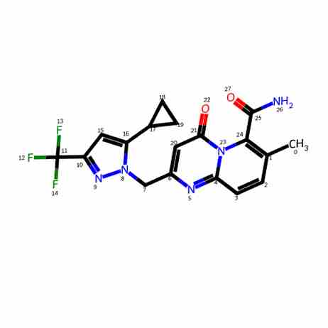 Cc1ccc2nc(Cn3nc(C(F)(F)F)cc3C3CC3)cc(=O)n2c1C(N)=O